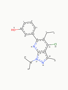 CCc1c(-c2cccc(O)c2)nc2c(c(C)nn2C(C)C)c1Cl